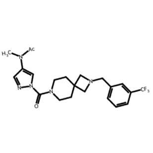 CC(=O)N(C)c1cnn(C(=O)N2CCC3(CC2)CN(Cc2cccc(C(F)(F)F)c2)C3)c1